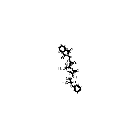 CC(C)(Oc1ccccc1)C(=O)NC1C(=O)N2C1SC(C)(C)C2C(=O)OCN1C(=O)c2ccccc2C1=O